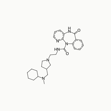 CN(CC1CCN(CCNC(=O)N2c3ccccc3C(=O)Nc3cccnc32)C1)C1CCCCC1